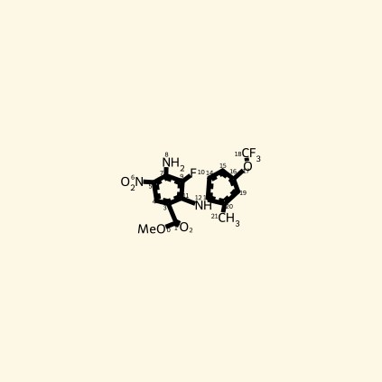 COC(=O)c1cc([N+](=O)[O-])c(N)c(F)c1Nc1ccc(OC(F)(F)F)cc1C